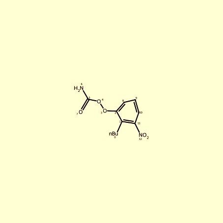 CCCCc1c(OOC(N)=O)cccc1[N+](=O)[O-]